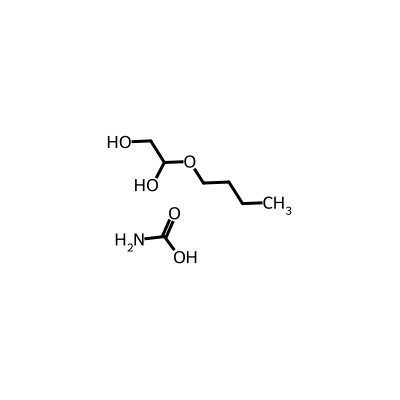 CCCCOC(O)CO.NC(=O)O